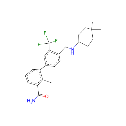 Cc1c(C(N)=O)cccc1-c1ccc(CNC2CCC(C)(C)CC2)c(C(F)(F)F)c1